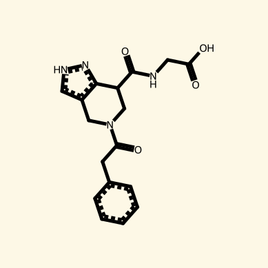 O=C(O)CNC(=O)C1CN(C(=O)Cc2ccccc2)Cc2c[nH]nc21